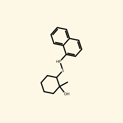 CC1(O)CCCCC1SPc1cccc2ccccc12